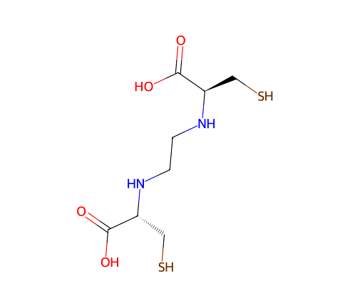 O=C(O)[C@@H](CS)NCCN[C@H](CS)C(=O)O